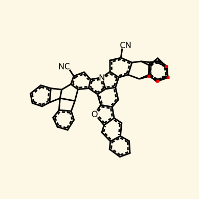 N#Cc1cc2c(c3c1C1c4ccccc4C3c3ccccc31)c1cc3c4cc5ccccc5cc4oc3c3c4c5c(c(C#N)cc4n2c13)C1c2ccccc2C12c1ccccc1C52